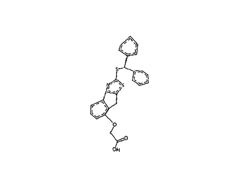 O=C(O)COc1cccc2c1Cc1sc(SC(c3ccccc3)c3ccccc3)nc1-2